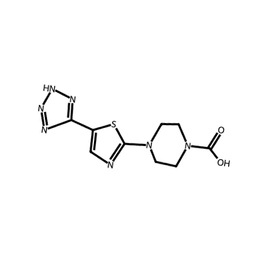 O=C(O)N1CCN(c2ncc(-c3nn[nH]n3)s2)CC1